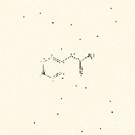 [NH]C(=O)Cc1ccncc1